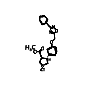 COC(=O)C1CN(Cl)C[C@H]1c1cccc(OCc2nc(-c3ccccc3)no2)c1